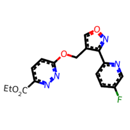 CCOC(=O)c1ccc(OCc2conc2-c2ccc(F)cn2)nn1